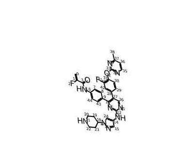 C=C(F)C(=O)Nc1ccc(-c2nc(Nc3cnn(C4CCNCC4)c3)ncc2-c2ccc(Oc3nccc(C)n3)c(F)c2)cc1